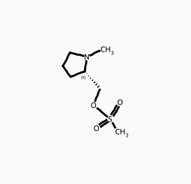 CN1CCC[C@H]1COS(C)(=O)=O